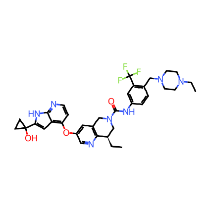 CC[C@@H]1CN(C(=O)Nc2ccc(CN3CCN(CC)CC3)c(C(F)(F)F)c2)Cc2cc(Oc3ccnc4[nH]c(C5(O)CC5)cc34)cnc21